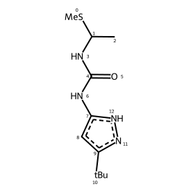 CSC(C)NC(=O)Nc1cc(C(C)(C)C)n[nH]1